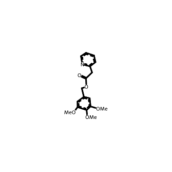 COc1cc(COC(=O)Cc2ccccn2)cc(OC)c1OC